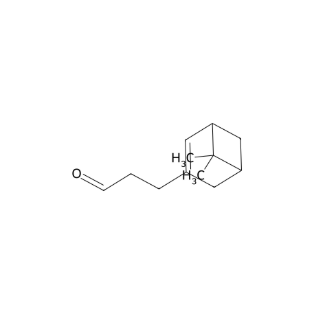 CC1(C)C2C=C(CCC=O)CC1C2